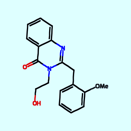 COc1ccccc1Cc1nc2ccccc2c(=O)n1CCO